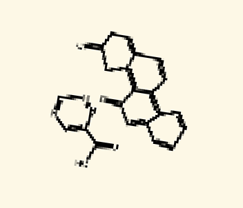 O=C(O)c1cncnn1.O=C1CC=c2ccc3c(c2C1)C(=O)C=c1ccccc1=3